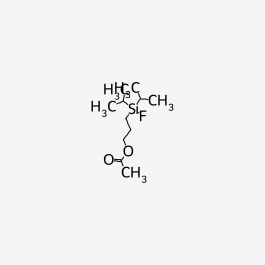 CC(=O)OCCC[Si](F)(C(C)C)C(C)C